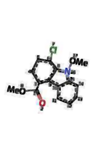 COC(=O)c1ccc(Cl)c2c1c1ccccc1n2OC